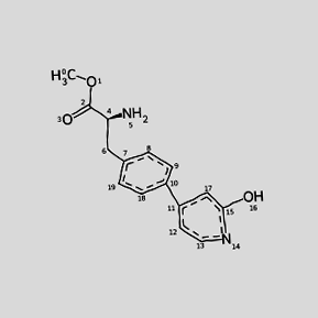 COC(=O)[C@@H](N)Cc1ccc(-c2ccnc(O)c2)cc1